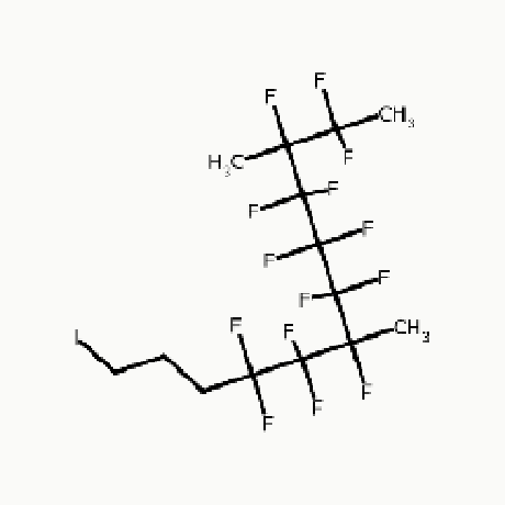 CC(F)(F)C(C)(F)C(F)(F)C(F)(F)C(F)(F)C(C)(F)C(F)(F)C(F)(F)CCCI